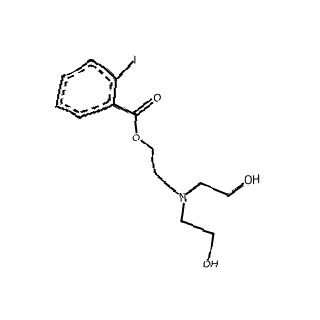 O=C(OCCN(CCO)CCO)c1ccccc1I